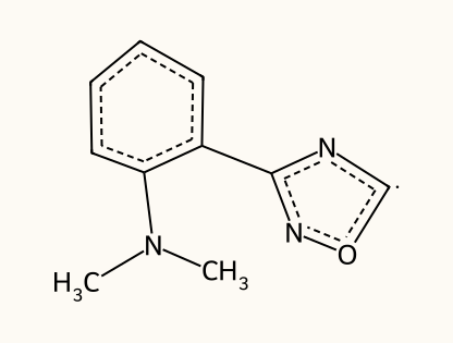 CN(C)c1ccccc1-c1n[c]on1